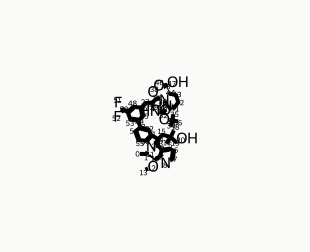 CCn1c(-c2cccnc2[C@H](C)OC)c(CC(C)(C)CO)c2cc(-c3cc(CC(NC(=O)OC(C)(C)C)C(=O)N4NCCC[C@H]4C(=O)O)cc(C(F)F)c3)ccc21